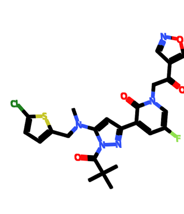 CN(Cc1ccc(Cl)s1)c1cc(-c2cc(F)cn(CC(=O)c3cnoc3)c2=O)nn1C(=O)C(C)(C)C